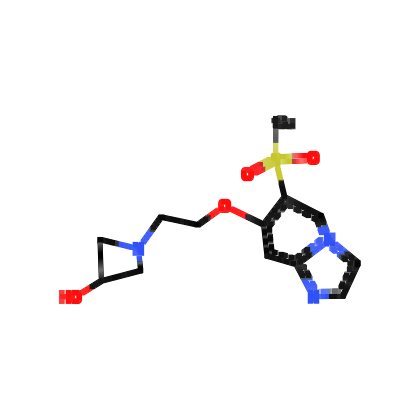 CC(C)(C)S(=O)(=O)c1cn2ccnc2cc1OCCN1CC(O)C1